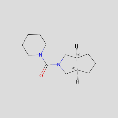 O=C(N1CCCCC1)N1C[C@H]2CCC[C@H]2C1